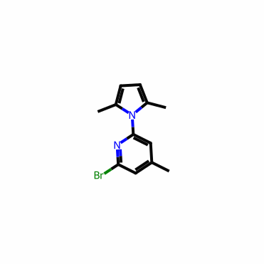 Cc1cc(Br)nc(-n2c(C)ccc2C)c1